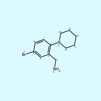 NCc1cc(Br)ccc1N1CCCCC1